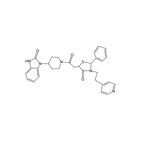 O=C(CC1SC(c2ccccc2)N(CCc2ccncc2)C1=O)N1CCC(n2c(=O)[nH]c3ccccc32)CC1